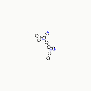 c1ccc(-c2ccc(-n3c4ccc(-c5ccc(-c6cc(-c7ccncc7)cc(-c7cc8ccccc8c8ccccc78)n6)cc5)cc4c4ccncc43)cc2)cc1